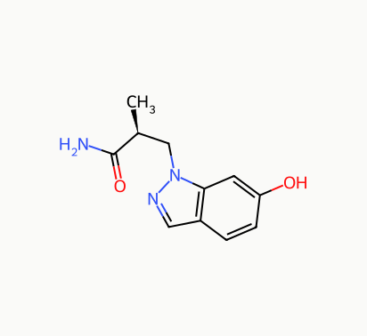 C[C@@H](Cn1ncc2ccc(O)cc21)C(N)=O